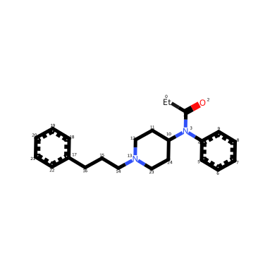 CCC(=O)N(c1ccccc1)C1CCN(CCCc2ccccc2)CC1